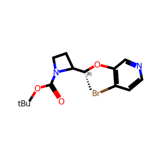 C[C@@H](Oc1cnccc1Br)C1CCN1C(=O)OC(C)(C)C